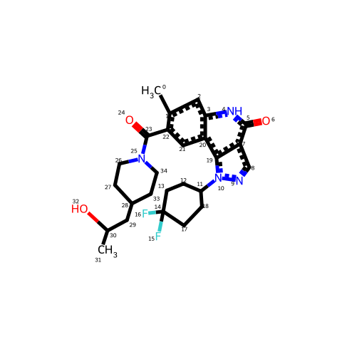 Cc1cc2[nH]c(=O)c3cnn(C4CCC(F)(F)CC4)c3c2cc1C(=O)N1CCC(CC(C)O)CC1